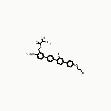 C=C(C)C(=O)OCc1cc(-c2ccc(-c3ccc(-c4ccc(OCCO)cc4)cc3F)cc2)ccc1CCCCC